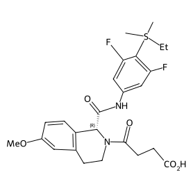 CCS(C)(C)c1c(F)cc(NC(=O)[C@H]2c3ccc(OC)cc3CCN2C(=O)CCC(=O)O)cc1F